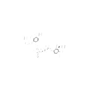 Cc1c(O)ccc(CCC(=O)OOCC2(OC(=O)CCc3ccc(O)c(C)c3C(C)(C)C)CC2)c1C(C)(C)C.[CH2]C[O]